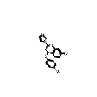 Clc1ccc(SC(CCn2ccnc2)c2ccc(Cl)cc2Cl)cc1